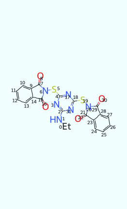 CCNc1nc(SN2C(=O)c3ccccc3C2=O)nc(SN2C(=O)c3ccccc3C2=O)n1